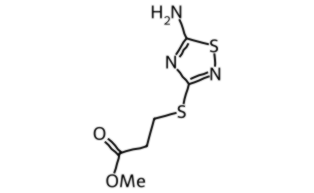 COC(=O)CCSc1nsc(N)n1